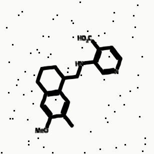 COc1cc2c(cc1C)C(CNc1cnccc1C(=O)O)CCC2